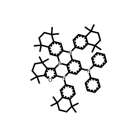 CC1(C)CCC(C)(C)c2cc(N3c4cc5c(cc4B4c6c3cc(N(c3ccccc3)c3ccccc3)cc6N(c3ccc6c(c3)C(C)(C)CCC6(C)C)c3oc6c(c34)C(C)(C)CCC6(C)C)C(C)(C)CCC5(C)C)ccc21